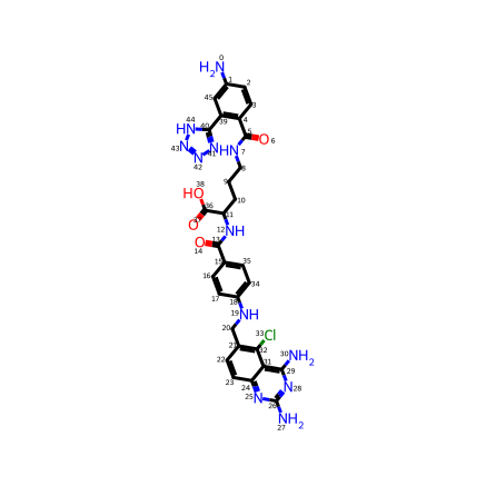 Nc1ccc(C(=O)NCCCC(NC(=O)c2ccc(NCc3ccc4nc(N)nc(N)c4c3Cl)cc2)C(=O)O)c(-c2nnn[nH]2)c1